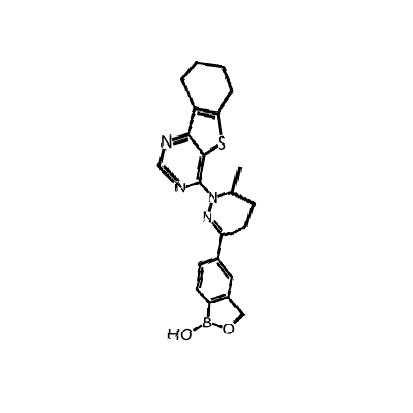 CC1CCC(c2ccc3c(c2)COB3O)=NN1c1ncnc2c3c(sc12)CCCC3